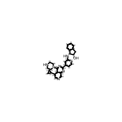 O[C@H]1Cc2ccccc2[C@H]1Nc1cc(-c2nc(N3CCNCC3)c3c(C4CC4)cncc3n2)ccn1